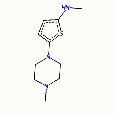 CNc1ccc(N2CCN(C)CC2)s1